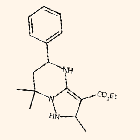 CCOC(=O)C1=C2NC(c3ccccc3)CC(C)(C)N2NC1C